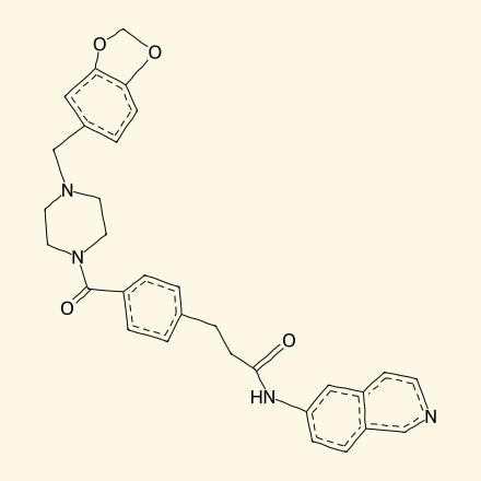 O=C(CCc1ccc(C(=O)N2CCN(Cc3ccc4c(c3)OCO4)CC2)cc1)Nc1ccc2cnccc2c1